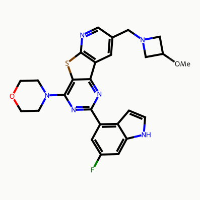 COC1CN(Cc2cnc3sc4c(N5CCOCC5)nc(-c5cc(F)cc6[nH]ccc56)nc4c3c2)C1